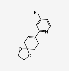 Brc1ccnc(C2=CCC3(CC2)OCCO3)c1